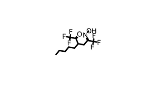 CCCCCC(CC(=NO)C(F)(F)F)C(=O)C(F)(F)F